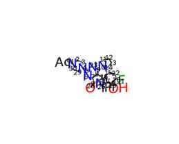 CC(=O)N1CCN(c2nc3c(c(N4CCC[C@@H]4c4ccc(O)c(F)c4)n2)CN(C(C)C)C3=O)CC1